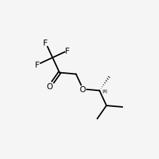 CC(C)[C@@H](C)OCC(=O)C(F)(F)F